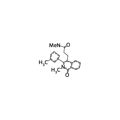 CNC(=O)CCc1c(-c2cccc(C)c2)n(C)c(=O)c2ccccc12